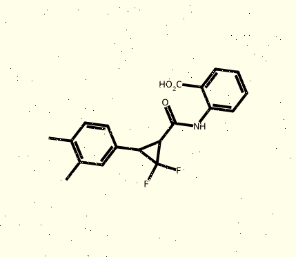 Cc1ccc(C2C(C(=O)Nc3ccccc3C(=O)O)C2(F)F)cc1C